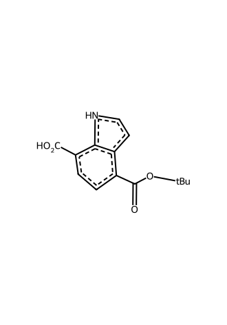 CC(C)(C)OC(=O)c1ccc(C(=O)O)c2[nH]ccc12